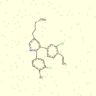 C=Cc1ccc(-c2cc(CCCOC)cnc2-c2ccc(CC)c(F)c2)cc1Cl